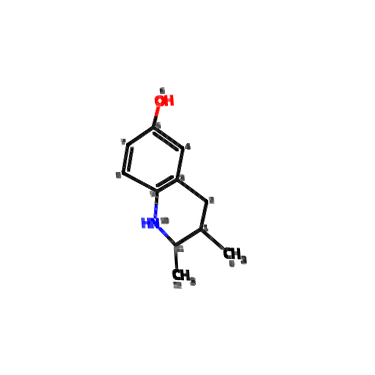 CC1Cc2cc(O)ccc2NC1C